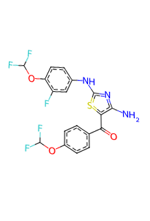 Nc1nc(Nc2ccc(OC(F)F)c(F)c2)sc1C(=O)c1ccc(OC(F)F)cc1